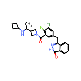 CC(NC1CCC1)C1CN(C(=O)c2cc(Cc3n[nH]c(=O)c4ccccc34)ccc2F)C1.Cl